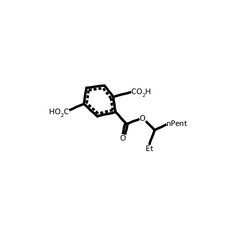 CCCCCC(CC)OC(=O)c1cc(C(=O)O)ccc1C(=O)O